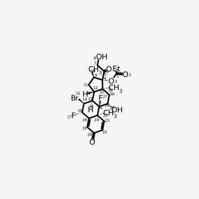 CCC(=O)O[C@@]1(C(=O)CO)[C@H](C)C[C@H]2[C@@H]3[C@H](Br)[C@@H](F)C4=CC(=O)C=C[C@]4(C)[C@@]3(F)[C@@H](O)C[C@@]21C